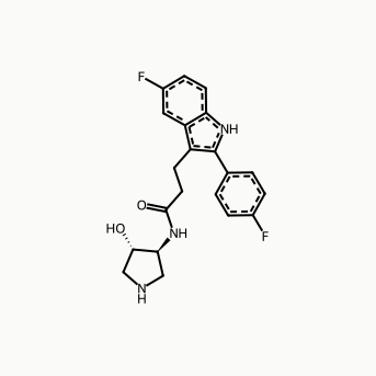 O=C(CCc1c(-c2ccc(F)cc2)[nH]c2ccc(F)cc12)N[C@H]1CNC[C@@H]1O